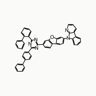 c1ccc(-c2ccc(-c3nc(-c4ccc5c(c4)oc4cc(-n6c7ccccc7c7cccnc76)ccc45)nc(-c4ccccc4-c4ccccc4)n3)cc2)cc1